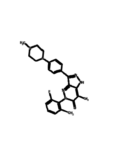 Cc1cccc(F)c1-n1nc2c(-c3ccc(N4CCN(C)CC4)cc3)n[nH]c2c(C)c1=O